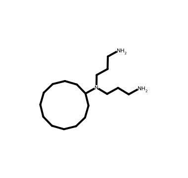 NCCCN(CCCN)C1CCCCCCCCCCC1